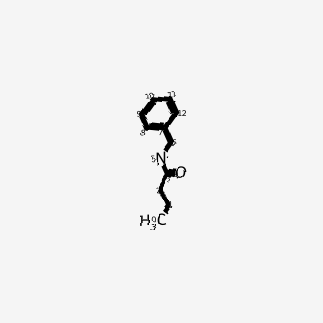 CCCC(=O)[N]Cc1ccccc1